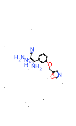 N#C/C(NN)=C(/N)c1cccc(OCc2cnco2)c1